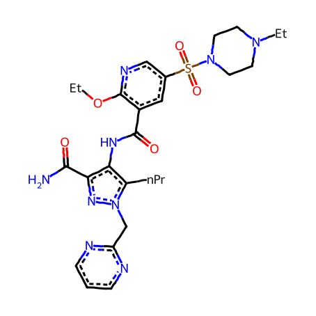 CCCc1c(NC(=O)c2cc(S(=O)(=O)N3CCN(CC)CC3)cnc2OCC)c(C(N)=O)nn1Cc1ncccn1